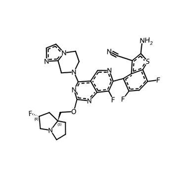 N#Cc1c(N)sc2c(F)cc(F)c(-c3ncc4c(N5CCn6ccnc6C5)nc(OC[C@@]56CCCN5C[C@H](F)C6)nc4c3F)c12